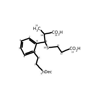 CCCCCCCCCCCCc1ccccc1C(SCCC(=O)O)C(C)C(=O)O